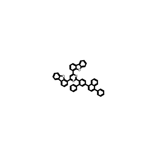 c1ccc(-c2cc(-c3ccc(-c4ccccc4)c4ccccc34)ccc2-c2nc(-c3cccc4c3oc3ccccc34)cc(-c3cccc4c3oc3ccccc34)n2)cc1